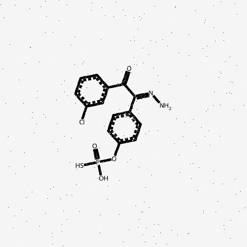 N/N=C(/C(=O)c1cccc(Cl)c1)c1ccc(OP(=O)(O)S)cc1